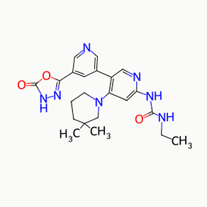 CCNC(=O)Nc1cc(N2CCCC(C)(C)C2)c(-c2cncc(-c3n[nH]c(=O)o3)c2)cn1